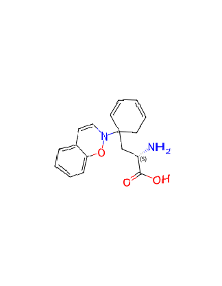 N[C@@H](CC1(N2C=Cc3ccccc3O2)C=CC=CC1)C(=O)O